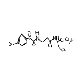 CC(C)CC(NC(=O)CCNC(=O)Nc1ccc(Br)cc1)C(=O)O